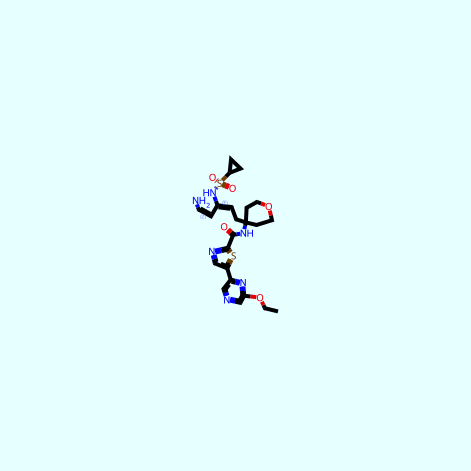 CCOc1cncc(-c2cnc(C(=O)NC3(C/C=C(\C=C/N)NS(=O)(=O)C4CC4)CCOCC3)s2)n1